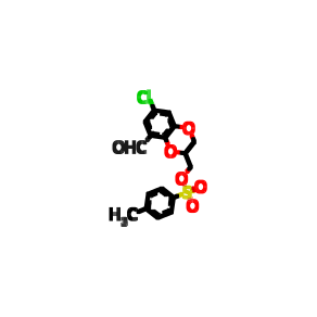 Cc1ccc(S(=O)(=O)OCC2COc3cc(Cl)cc(C=O)c3O2)cc1